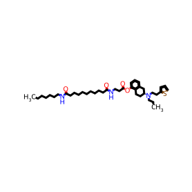 CCCCCCCNC(=O)CCCCCCCCCC(=O)NCCC(=O)Oc1cccc2c1CC[C@@H](N(CCC)CCc1cccs1)C2